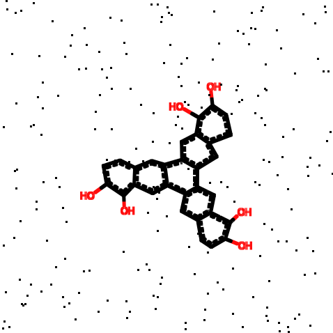 Oc1ccc2cc3c4cc5c(O)c(O)ccc5cc4c4cc5c(O)c(O)ccc5cc4c3cc2c1O